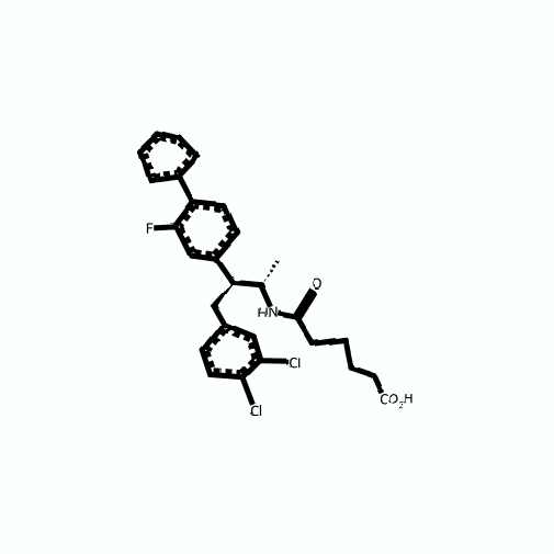 C[C@H](NC(=O)CCCCC(=O)O)[C@@H](Cc1ccc(Cl)c(Cl)c1)c1ccc(-c2ccccc2)c(F)c1